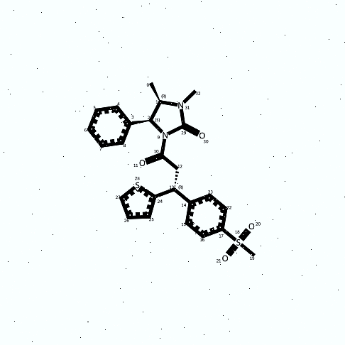 C[C@@H]1[C@H](c2ccccc2)N(C(=O)C[C@H](c2ccc(S(C)(=O)=O)cc2)c2cccs2)C(=O)N1C